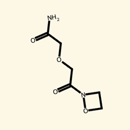 NC(=O)COCC(=O)N1CCO1